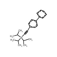 CC(C)[Si](C#Cc1ccc(-c2ccccc2)cc1)(C(C)C)C(C)C